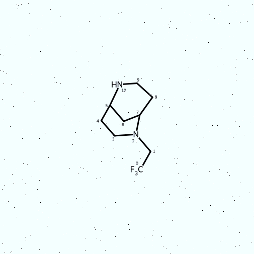 FC(F)(F)CN1CCC2CC1CCN2